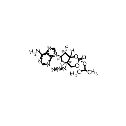 CC(C)OP1(=O)OC[C@@]2(N=[N+]=[N-])O[C@@H](n3cnc4c(N)ncnc43)[C@H](F)[C@@H]2O1